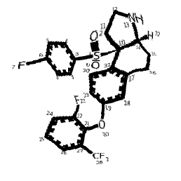 O=S(=O)(c1ccc(F)cc1)[C@@]12CCN[C@@H]1CCc1cc(Oc3c(F)cccc3C(F)(F)F)ccc12